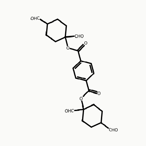 O=CC1CCC(C=O)(OC(=O)c2ccc(C(=O)OC3(C=O)CCC(C=O)CC3)cc2)CC1